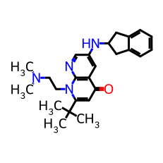 CN(C)CCn1c(C(C)(C)C)cc(=O)c2cc(NC3Cc4ccccc4C3)cnc21